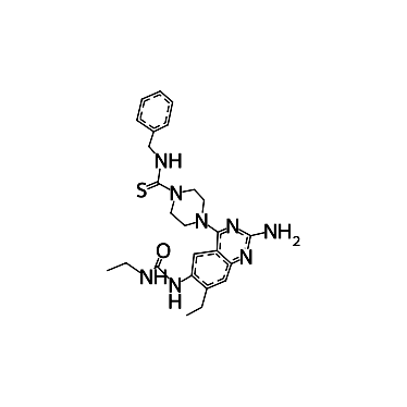 CCNC(=O)Nc1cc2c(N3CCN(C(=S)NCc4ccccc4)CC3)nc(N)nc2cc1CC